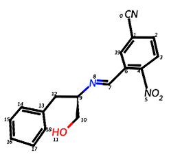 N#Cc1ccc([N+](=O)[O-])c(C=N[C@@H](CO)Cc2ccccc2)c1